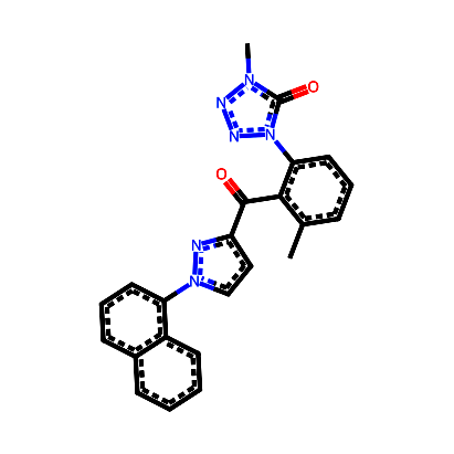 Cc1cccc(-n2nnn(C)c2=O)c1C(=O)c1ccn(-c2cccc3ccccc23)n1